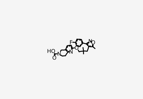 Cc1onc(-c2ccc(F)cc2)c1CC(C)(C)COc1ccc2c(n1)CCN(C(=O)O)C2